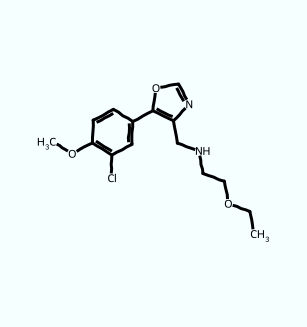 CCOCCNCc1ncoc1-c1ccc(OC)c(Cl)c1